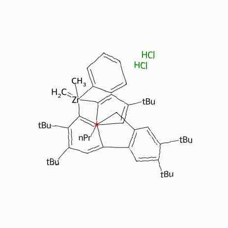 Cl.Cl.[CH2]=[Zr]([CH3])([C]1=CC(C(C)(C)C)=CC1CCC)([c]1ccccc1)[c]1c2c(cc(C(C)(C)C)c1C(C)(C)C)-c1cc(C(C)(C)C)c(C(C)(C)C)cc1C2